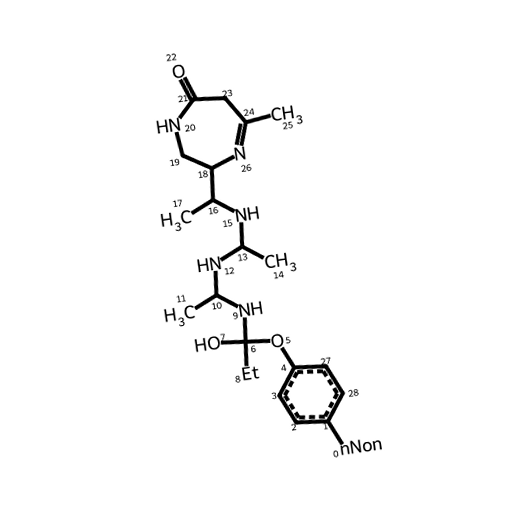 CCCCCCCCCc1ccc(OC(O)(CC)NC(C)NC(C)NC(C)C2CNC(=O)CC(C)=N2)cc1